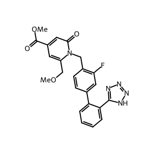 COCc1cc(C(=O)OC)cc(=O)n1Cc1ccc(-c2ccccc2-c2nnn[nH]2)cc1F